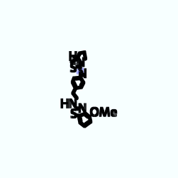 COc1cccc2sc(NCCc3ccc(/N=C4\SC[C@@H]5CCCN45)cc3)nc12